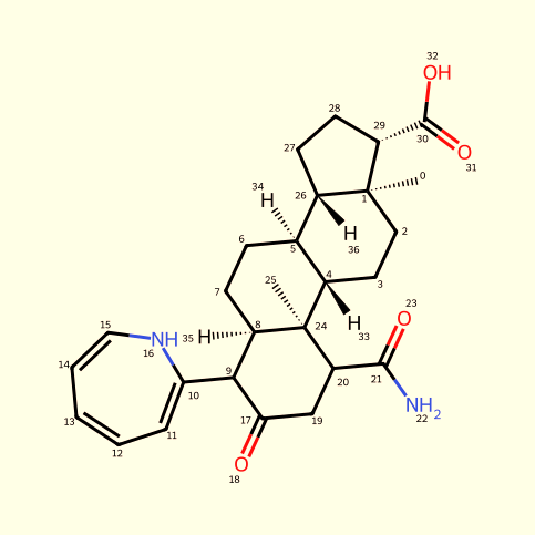 C[C@]12CC[C@H]3[C@@H](CC[C@@H]4C(C5=CC=CC=CN5)C(=O)CC(C(N)=O)[C@@]43C)[C@@H]1CC[C@@H]2C(=O)O